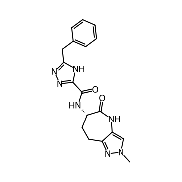 Cn1cc2c(n1)CC[C@H](NC(=O)c1nnc(Cc3ccccc3)[nH]1)C(=O)N2